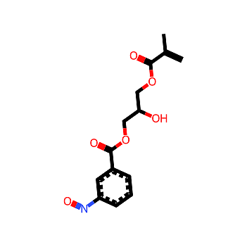 C=C(C)C(=O)OCC(O)COC(=O)c1cccc(N=O)c1